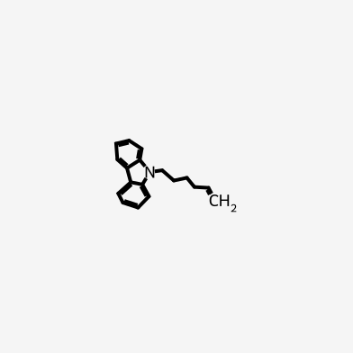 C=CCCCCn1c2ccccc2c2ccccc21